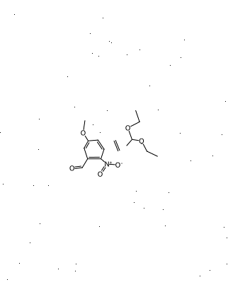 C=C.CCOC(C)OCC.COc1ccc([N+](=O)[O-])c(C=O)c1